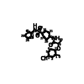 Cc1cc(Cl)ccc1OC(C)C(=O)Nc1ccc(S(=O)(=O)Nc2nccs2)cc1